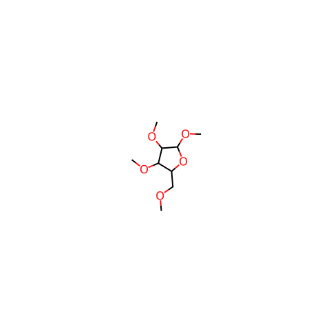 COCC1OC(OC)C(OC)C1OC